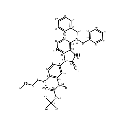 COCCOc1ccc(-n2c(=O)[nH]c3c(N(Cc4ccccc4)Cc4ccccc4)ncnc32)cc1N(C)C(=O)OC(C)(C)C